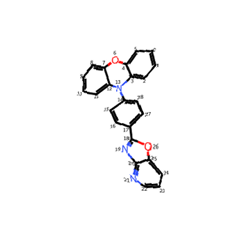 c1ccc2c(c1)Oc1ccccc1N2c1ccc(-c2nc3ncccc3o2)cc1